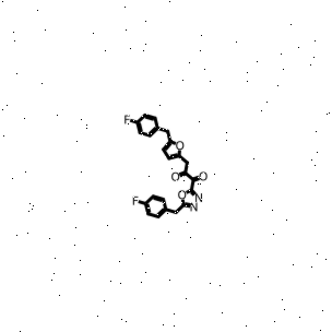 O=C(Cc1ccc(Cc2ccc(F)cc2)o1)C(=O)c1nnc(Cc2ccc(F)cc2)o1